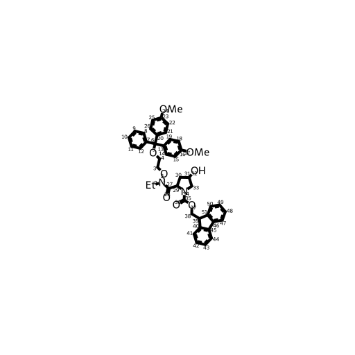 CCN(OCCOC(c1ccccc1)(c1ccc(OC)cc1)c1ccc(OC)cc1)C(=O)C1CC(O)CN1C(=O)OCC1c2ccccc2-c2ccccc21